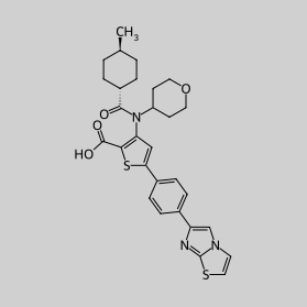 C[C@H]1CC[C@H](C(=O)N(c2cc(-c3ccc(-c4cn5ccsc5n4)cc3)sc2C(=O)O)C2CCOCC2)CC1